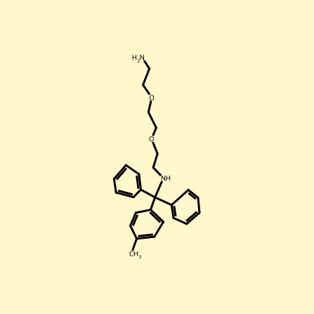 Cc1ccc(C(NCCOCCOCCN)(c2ccccc2)c2ccccc2)cc1